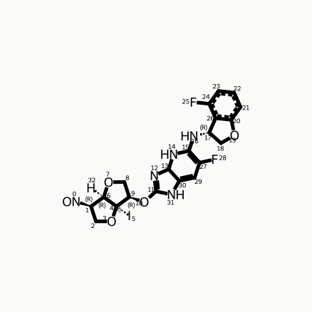 O=N[C@@H]1CO[C@@]2(I)[C@@H]1OC[C@H]2OC1=NC2NC(N[C@H]3COc4cccc(F)c43)=C(F)C=C2N1